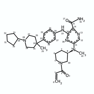 C=CC(=O)N1CCC[C@@H](N(C)c2cnc(C(N)=O)c(Nc3ccc(C4(C)CCN(C5CCCC5)CC4)cc3)n2)C1